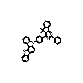 CC1(C)c2ccccc2-c2nc(-c3ccccc3)nc(-c3ccc(-n4c5ccccc5c5c6sc7ccccc7c6ccc54)cc3)c21